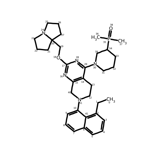 CCc1cccc2cccc(N3CCc4c(nc(OCC56CCCN5CCC6)nc4N4CCCC(P(C)(C)=O)C4)C3)c12